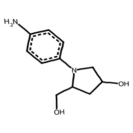 Nc1ccc(N2CC(O)CC2CO)cc1